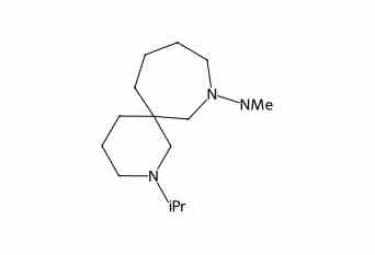 CNN1CCCCC2(CCCN(C(C)C)C2)C1